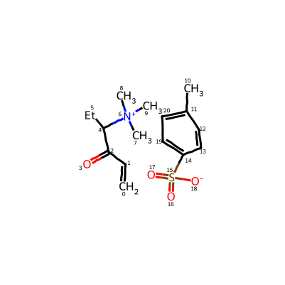 C=CC(=O)C(CC)[N+](C)(C)C.Cc1ccc(S(=O)(=O)[O-])cc1